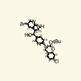 CC(C)(C)OC(=O)N(Cc1ccc(Cl)cc1)c1ccc(C(O)c2c[nH]c3ncc(Br)cc23)cn1